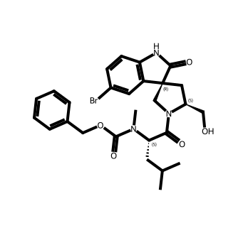 CC(C)C[C@@H](C(=O)N1C[C@]2(C[C@H]1CO)C(=O)Nc1ccc(Br)cc12)N(C)C(=O)OCc1ccccc1